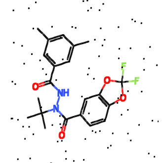 Cc1cc(C)cc(C(=O)NN(C(=O)c2ccc3c(c2)OC(F)(F)O3)C(C)(C)C)c1